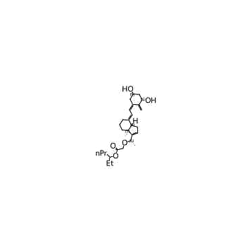 C=C1C(=CC=C2CCC[C@]3(C)C([C@H](C)OCC(=O)OC(CC)CCC)=CC[C@@H]23)C[C@@H](O)C[C@@H]1O